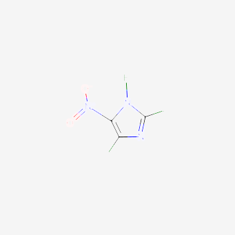 O=[N+]([O-])c1c(F)nc(F)n1F